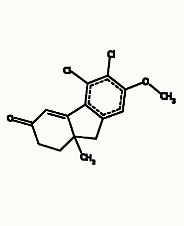 COc1cc2c(c(Cl)c1Cl)C1=CC(=O)CCC1(C)C2